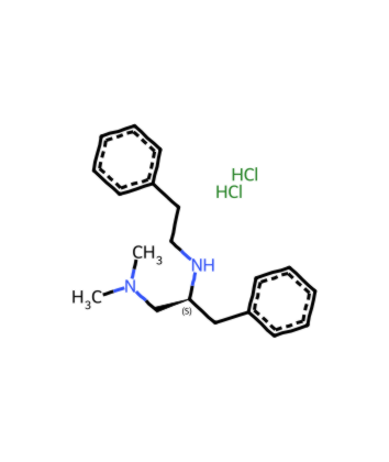 CN(C)C[C@H](Cc1ccccc1)NCCc1ccccc1.Cl.Cl